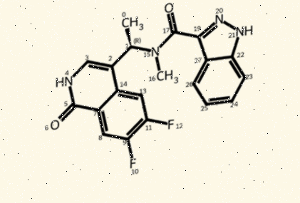 C[C@H](c1c[nH]c(=O)c2cc(F)c(F)cc12)N(C)C(=O)c1n[nH]c2ccccc12